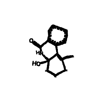 CC1=C2c3ccccc3C(=O)NC2(O)[C][C][C]1